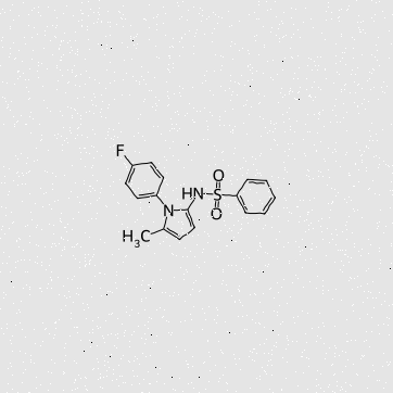 Cc1ccc(NS(=O)(=O)c2ccccc2)n1-c1ccc(F)cc1